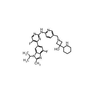 Cc1nc2c(F)cc(-c3nc(Nc4ccc(CN5CC(O)(C6CCCCN6)C5)cn4)ncc3F)cc2n1C(C)C